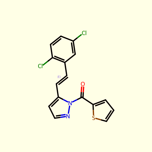 O=C(c1cccs1)n1nccc1/C=C/c1cc(Cl)ccc1Cl